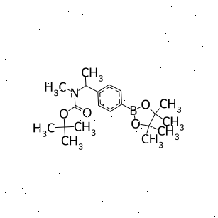 CC(c1ccc(B2OC(C)(C)C(C)(C)O2)cc1)N(C)C(=O)OC(C)(C)C